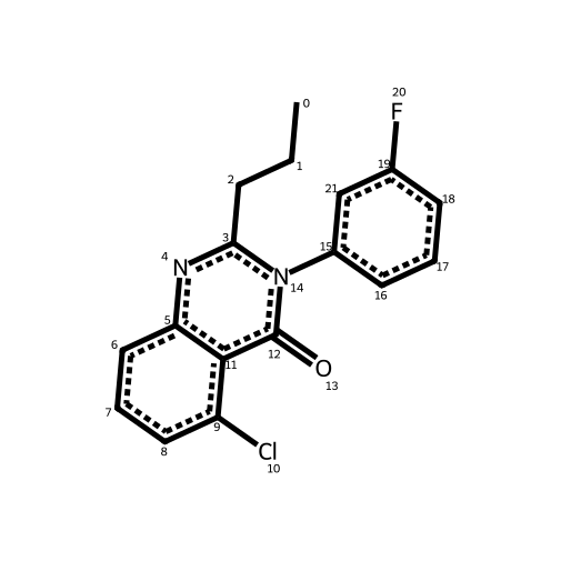 CCCc1nc2cccc(Cl)c2c(=O)n1-c1cccc(F)c1